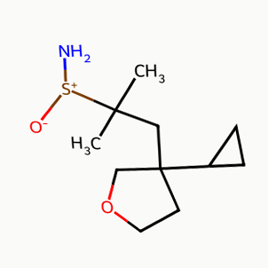 CC(C)(CC1(C2CC2)CCOC1)[S+](N)[O-]